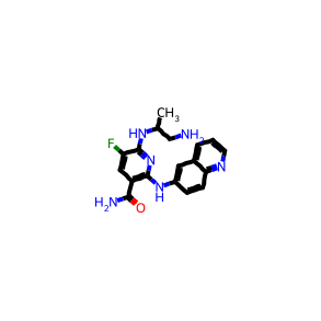 CC(CN)Nc1nc(Nc2ccc3ncccc3c2)c(C(N)=O)cc1F